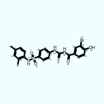 Cc1ccc(NS(=O)(=O)c2ccc(NC(=S)NC(=O)c3ccc(O)c(Br)c3)cc2)c(C)c1